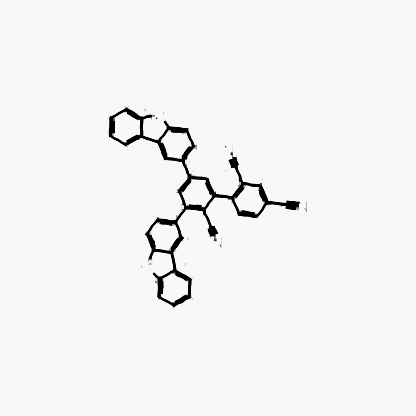 N#Cc1ccc(-c2cc(-c3ccc4oc5ccccc5c4c3)cc(-c3ccc4oc5ccccc5c4c3)c2C#N)c(C#N)c1